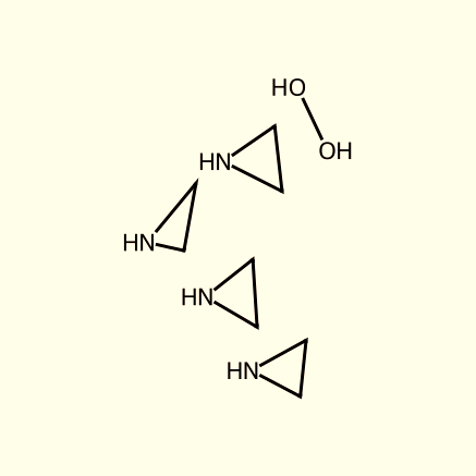 C1CN1.C1CN1.C1CN1.C1CN1.OO